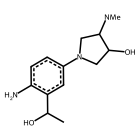 CNC1CN(c2ccc(N)c(C(C)O)c2)CC1O